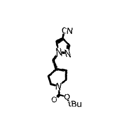 CC(C)(C)OC(=O)N1CCC(Cn2cc(C#N)cn2)CC1